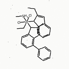 CCC1=Cc2ccccc2[CH]1[Zr]([Cl])([Cl])([CH2]C)([SiH2]C)[CH]1C(C)=Cc2c(-c3ccccc3)cccc21